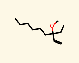 C=CC(CC)(CCCCCC)OC